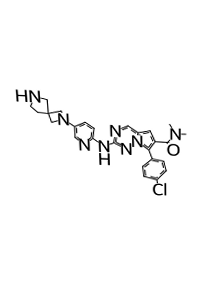 CN(C)C(=O)c1cc2cnc(Nc3ccc(N4CC5(CCNC5)C4)cn3)nn2c1-c1ccc(Cl)cc1